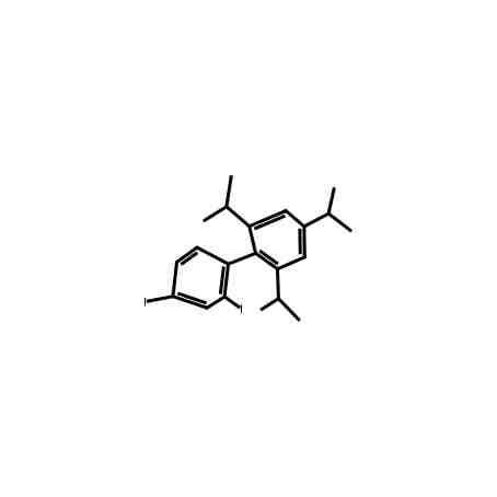 CC(C)c1cc(C(C)C)c(-c2ccc(I)cc2I)c(C(C)C)c1